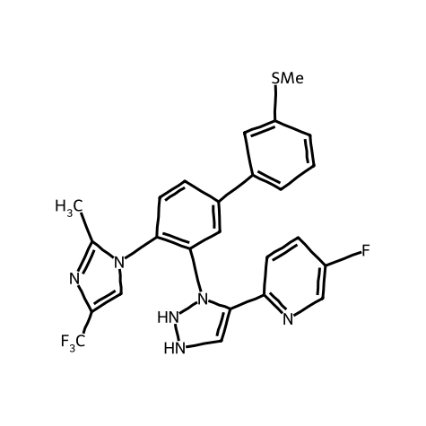 CSc1cccc(-c2ccc(-n3cc(C(F)(F)F)nc3C)c(N3NNC=C3c3ccc(F)cn3)c2)c1